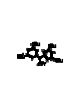 CCCC(c1cc(C(C)(C)C)[c]c(C(C)(C)C)c1)c1cc(C(C)(C)C)[c]c(C(C)(C)C)c1